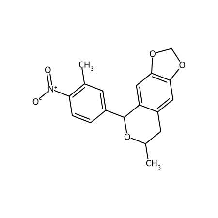 Cc1cc(C2OC(C)Cc3cc4c(cc32)OCO4)ccc1[N+](=O)[O-]